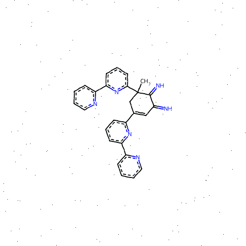 CC1(c2cccc(-c3ccccn3)n2)CC(c2cccc(-c3ccccn3)n2)=CC(=N)C1=N